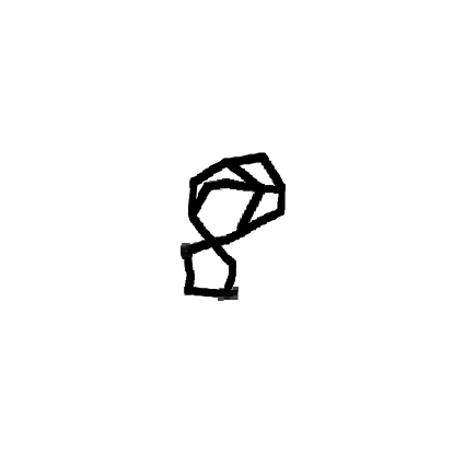 C1NCC2(O1)C1CC3CC(C1)CC2C3